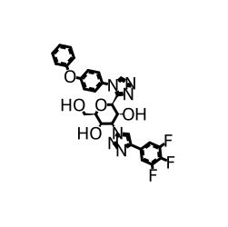 OC[C@H]1O[C@@H](c2nncn2-c2ccc(Oc3ccccc3)cc2)[C@H](O)[C@@H](n2cc(-c3cc(F)c(F)c(F)c3)nn2)[C@H]1O